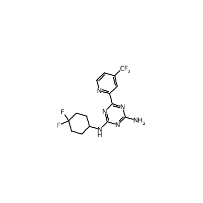 Nc1nc(NC2CCC(F)(F)CC2)nc(-c2cc(C(F)(F)F)ccn2)n1